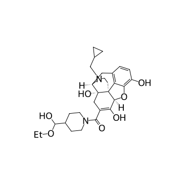 CCOC(O)C1CCN(C(=O)C2=C(O)[C@@H]3Oc4c(O)ccc5c4[C@@]34CCN(CC3CC3)[C@H](C5)[C@]4(O)C2)CC1